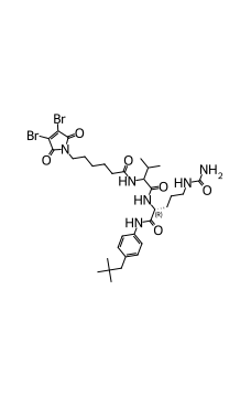 CC(C)C(NC(=O)CCCCCN1C(=O)C(Br)=C(Br)C1=O)C(=O)N[C@H](CCCNC(N)=O)C(=O)Nc1ccc(CC(C)(C)C)cc1